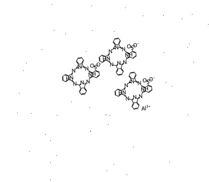 O=S([O-])c1cccc2c3nc4nc(nc5[nH]c(nc6nc(nc([nH]3)c12)-c1ccccc1-6)c1ccccc51)-c1ccccc1-4.O=S([O-])c1cccc2c3nc4nc(nc5[nH]c(nc6nc(nc([nH]3)c12)-c1ccccc1-6)c1ccccc51)-c1ccccc1-4.O=S([O-])c1cccc2c3nc4nc(nc5[nH]c(nc6nc(nc([nH]3)c12)-c1ccccc1-6)c1ccccc51)-c1ccccc1-4.[Al+3]